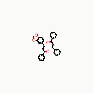 O=C(C=Cc1ccc2c(c1)OCO2)c1ccccc1.O=C(C=Cc1ccccc1)c1ccccc1